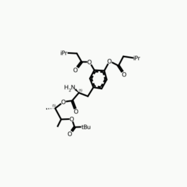 CC(C)CC(=O)Oc1ccc(C[C@H](N)C(=O)O[C@@H](C)C(C)OC(=O)C(C)(C)C)cc1OC(=O)CC(C)C